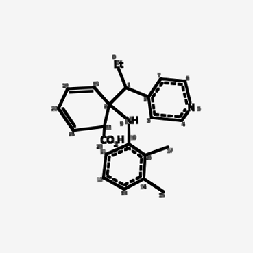 CCC(c1ccncc1)C1(Nc2cccc(C)c2C)C=CC=CC1C(=O)O